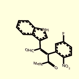 CNC(=O)/C(=C(\C=O)c1c[nH]c2ccccc12)c1cc(F)ccc1[N+](=O)[O-]